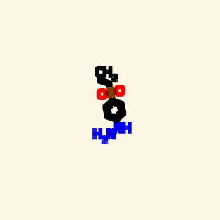 C=CCS(=O)(=O)c1ccc(NN)cc1